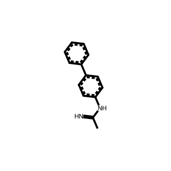 CC(=N)Nc1ccc(-c2ccccc2)cc1